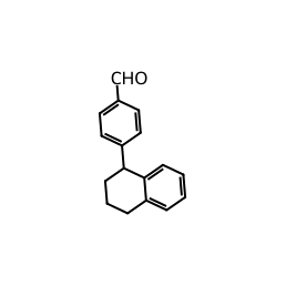 O=Cc1ccc(C2CCCc3ccccc32)cc1